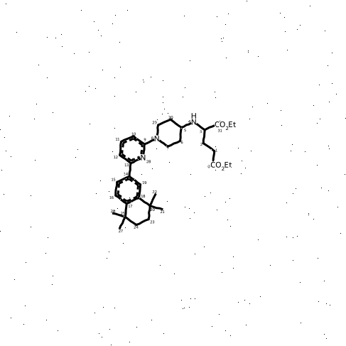 CCOC(=O)CCC(NC1CCN(c2cccc(-c3ccc4c(c3)C(C)(C)CCC4(C)C)n2)CC1)C(=O)OCC